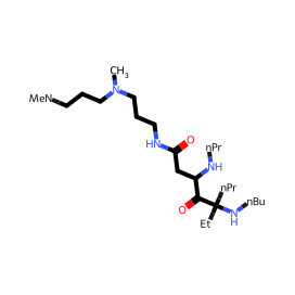 CCCCNC(CC)(CCC)C(=O)C(CC(=O)NCCCN(C)CCCNC)NCCC